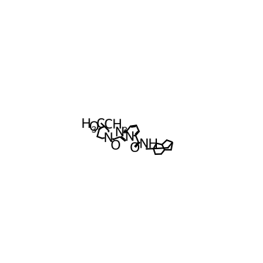 CC1(C)CN(C(=O)c2cn3c(C(=O)NCC45CCC6CC(CC6C4)C5)cccc3n2)CCC1=O